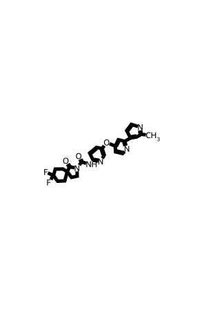 Cc1cc(-c2cc(Oc3ccc(NC(=O)N4CCC5(CCC(F)(F)CC5)C4=O)nc3)ccn2)ccn1